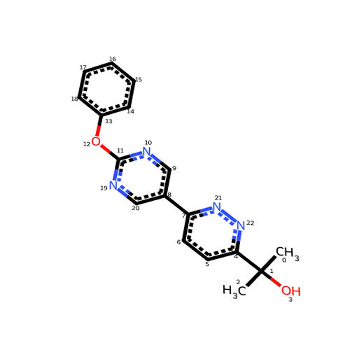 CC(C)(O)c1ccc(-c2cnc(Oc3ccccc3)nc2)nn1